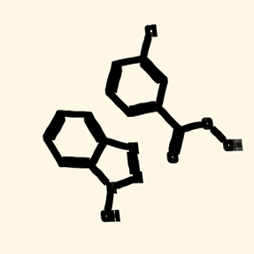 O=C(OO)c1cccc(Cl)c1.On1nnc2ccccc21